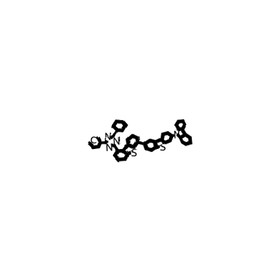 c1ccc(-c2nc(-c3ccccc3)nc(-c3cccc4sc5c(-c6ccc7sc8cc(-n9c%10ccccc%10c%10ccccc%109)ccc8c7c6)cccc5c34)n2)cc1